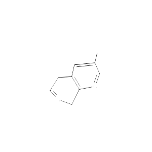 Brc1cnc2c(c1)CC=NC2